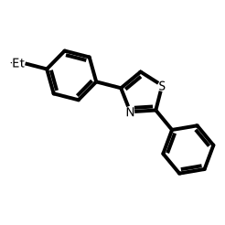 C[CH]c1ccc(-c2csc(-c3ccccc3)n2)cc1